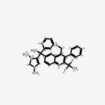 CN1C=C(C(C)(c2ccc3nc(C(C)(F)F)c(-c4ccccc4)c(CF)c3c2)c2ccccn2)N(C)C1